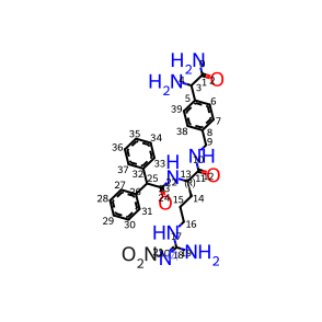 NC(=O)C(N)c1ccc(CNC(=O)[C@@H](CCCN/C(N)=N\[N+](=O)[O-])NC(=O)C(c2ccccc2)c2ccccc2)cc1